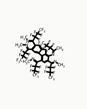 C/N=C(/c1cc2c(cc1/C(=N/C)C(F)(F)C(F)(F)C(F)(F)F)-c1c(/C(=N/C)C(F)(F)C(F)(F)C(F)(F)F)cc(/C(=N/C)C(F)(F)C(F)(F)C(F)(F)F)c(/N=C(/C)C(F)(F)C(F)(F)C(F)(F)F)c1C2)C(F)(F)C(F)(F)C(F)(F)F